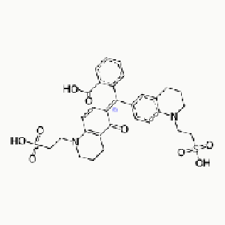 O=C1C2=C(C=C/C1=C(/c1ccc3c(c1)CCCN3CCS(=O)(=O)O)c1ccccc1C(=O)O)N(CCS(=O)(=O)O)CCC2